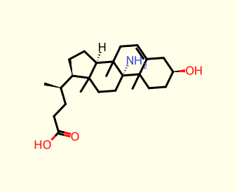 C[C@H](CCC(=O)O)[C@H]1CC[C@@H]2C1(C)CC[C@]1(N)C3(C)CC[C@H](O)CC3=CCC21C